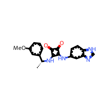 COc1cccc([C@@H](C)Nc2c(Nc3ccc4[nH]cnc4c3)c(=O)c2=O)c1